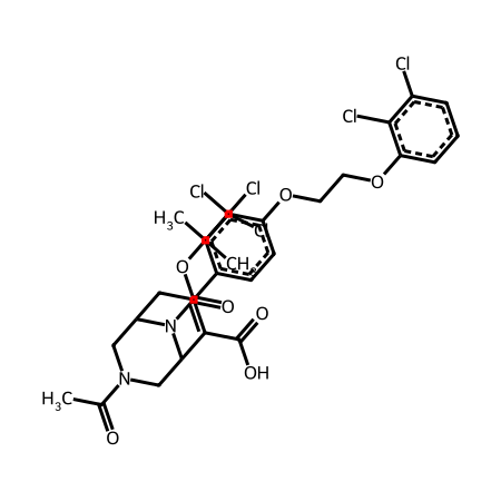 CC(=O)N1CC2CC(c3ccc(OCCOc4cccc(Cl)c4Cl)cc3)=C(C(=O)O)C(C1)N2C(=O)OC(C)(C)C(Cl)(Cl)Cl